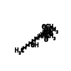 CCCCCCC(O)CCCCCCCC(COC(C)=O)(COC(C)=O)NC(C)=O